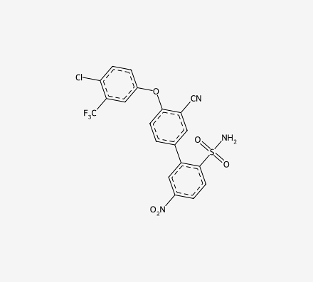 N#Cc1cc(-c2cc([N+](=O)[O-])ccc2S(N)(=O)=O)ccc1Oc1ccc(Cl)c(C(F)(F)F)c1